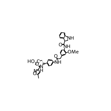 COc1cc(CC(=O)Nc2ccc([C@@H](CC(=O)O)NC(=O)c3cc(C)on3)cc2)ccc1NC(=O)C1CNc2ccccc21